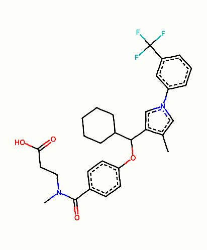 Cc1cn(-c2cccc(C(F)(F)F)c2)cc1C(Oc1ccc(C(=O)N(C)CCC(=O)O)cc1)C1CCCCC1